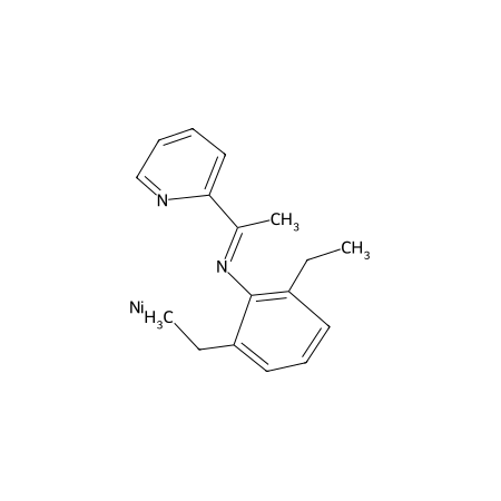 CCc1cccc(CC)c1N=C(C)c1ccccn1.[Ni]